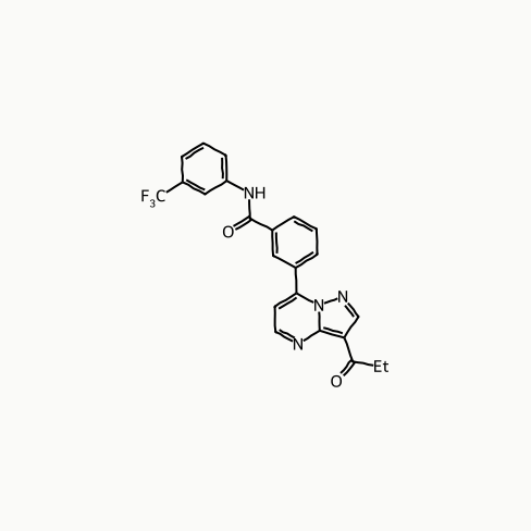 CCC(=O)c1cnn2c(-c3cccc(C(=O)Nc4cccc(C(F)(F)F)c4)c3)ccnc12